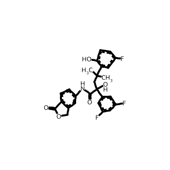 CC(C)(CC(O)(C(=O)Nc1ccc2c(c1)COC2=O)c1cc(F)cc(F)c1)c1cc(F)ccc1O